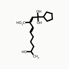 CC(O)CCCC=C/C(=C\C(O)(O)C1CCCC1)C(=O)O